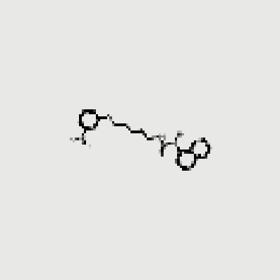 O=C(NCCCCCOc1cccc([N+](=O)[O-])c1)N(S)c1cccc2ccccc12